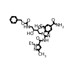 CCn1nc(C)cc1C(=O)Nc1nc2cc(C(N)=O)cc(C)c2n1C[C@H](O)[C@@H](O)CNC(=O)OCc1ccccc1